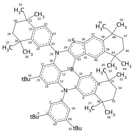 CC(C)(C)c1cc(N2c3cc4c(cc3B3c5c2cc(C(C)(C)C)cc5N(c2ccc5c(c2)C(C)(C)CCC5(C)C)c2sc5cc6c(cc5c23)C(C)(C)CCC6(C)C)C(C)(C)CCC4(C)C)cc(C(C)(C)C)c1